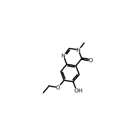 CCOc1cc2ncn(C)c(=O)c2cc1O